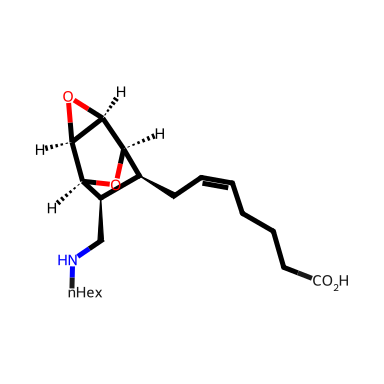 CCCCCCNC[C@@H]1[C@H](C/C=C\CCCC(=O)O)[C@H]2O[C@@H]1[C@H]1O[C@H]12